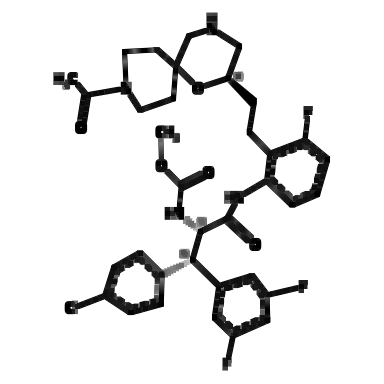 COC(=O)N[C@H](C(=O)Nc1cccc(F)c1CC[C@@H]1CNCC2(CCN(C(C)=O)CC2)O1)[C@@H](c1ccc(Cl)cc1)c1cc(F)cc(F)c1